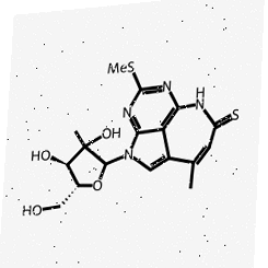 CSc1nc2c3c(cn(C4O[C@H](CO)[C@@H](O)C4(C)O)c3n1)C(C)=CC(=S)N2